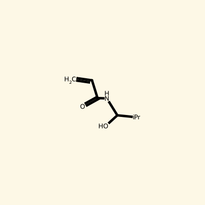 C=CC(=O)NC(O)C(C)C